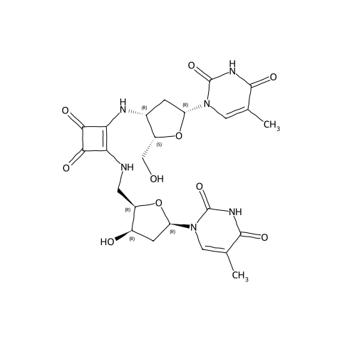 Cc1cn([C@H]2C[C@@H](O)[C@@H](CNc3c(N[C@@H]4C[C@H](n5cc(C)c(=O)[nH]c5=O)O[C@@H]4CO)c(=O)c3=O)O2)c(=O)[nH]c1=O